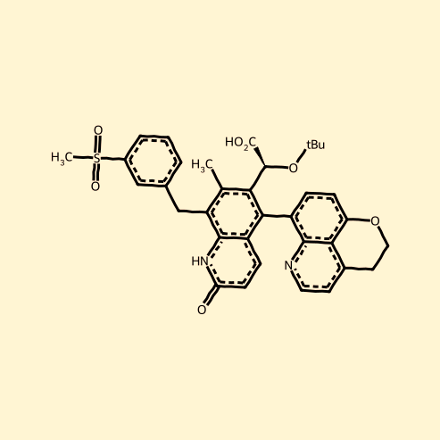 Cc1c([C@H](OC(C)(C)C)C(=O)O)c(-c2ccc3c4c(ccnc24)CCO3)c2ccc(=O)[nH]c2c1Cc1cccc(S(C)(=O)=O)c1